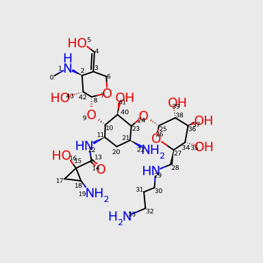 CN[C@H]1/C(=C\O)CO[C@H](O[C@H]2[C@H](NC(=O)C3(O)CC3N)C[C@H](N)C(O[C@H]3O[C@H](CNCCCN)[C@@H](O)[C@H](O)[C@H]3O)[C@@H]2O)[C@@H]1O